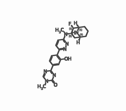 CN(c1ccc(-c2ccc(-c3ncn(C)c(=O)n3)cc2O)nn1)[C@@H]1C[C@H]2CCC[C@H](N2)[C@@H]1F